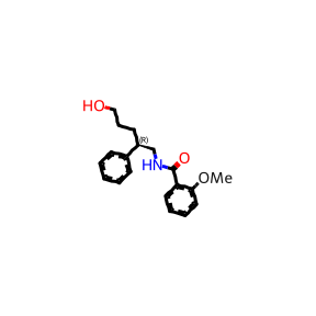 COc1ccccc1C(=O)NC[C@H](CCCO)c1ccccc1